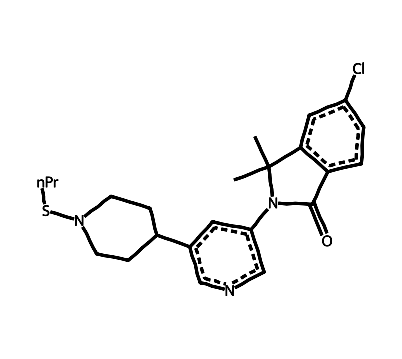 CCCSN1CCC(c2cncc(N3C(=O)c4ccc(Cl)cc4C3(C)C)c2)CC1